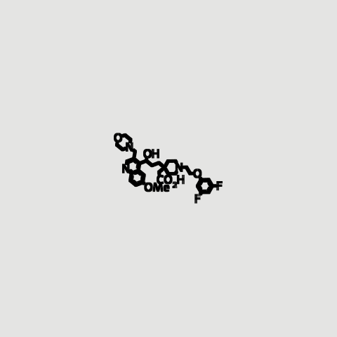 COc1ccc2ncc(CN3CCOCC3)c(C(O)CCC3(CC(=O)O)CCN(CCOc4cc(F)cc(F)c4)CC3)c2c1